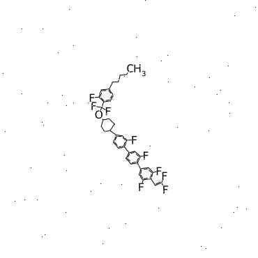 CCCCCc1ccc(C(F)(F)OC2CCC(c3ccc(-c4ccc(-c5cc(F)c(C=C(F)F)c(F)c5)c(F)c4)c(F)c3)CC2)c(F)c1